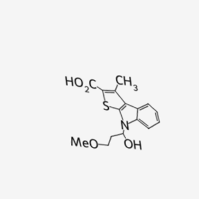 COCCC(O)n1c2ccccc2c2c(C)c(C(=O)O)sc21